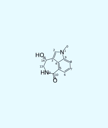 Cn1cc2c3c(cccc31)C(=O)NCC2O